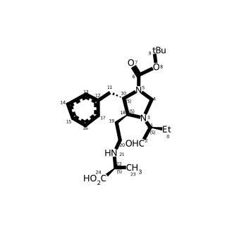 CC[C@@H](C=O)N1CN(C(=O)OC(C)(C)C)[C@@H](Cc2ccccc2)[C@@H]1CCN[C@@H](C)C(=O)O